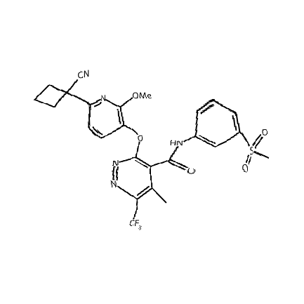 COc1nc(C2(C#N)CCC2)ccc1Oc1nnc(C(F)(F)F)c(C)c1C(=O)Nc1cccc(S(C)(=O)=O)c1